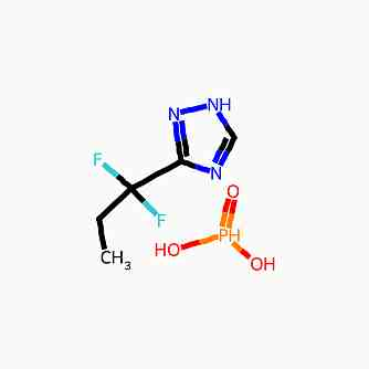 CCC(F)(F)c1nc[nH]n1.O=[PH](O)O